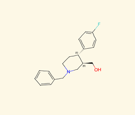 OC[C@H]1CN(Cc2ccccc2)CC[C@@H]1c1ccc(F)cc1